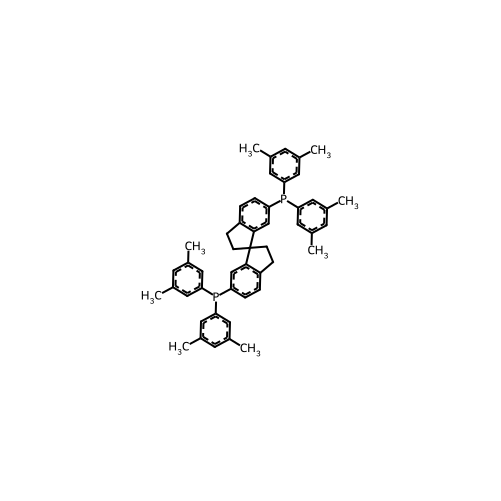 Cc1cc(C)cc(P(c2cc(C)cc(C)c2)c2ccc3c(c2)C2(CC3)CCc3ccc(P(c4cc(C)cc(C)c4)c4cc(C)cc(C)c4)cc32)c1